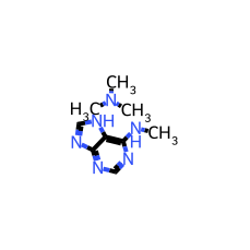 CN(C)C.CNc1ncnc2nc[nH]c12